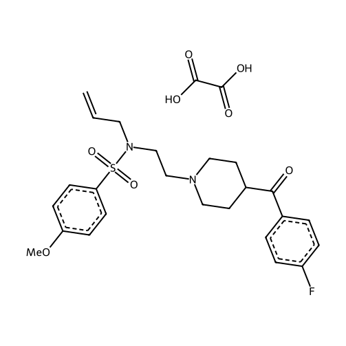 C=CCN(CCN1CCC(C(=O)c2ccc(F)cc2)CC1)S(=O)(=O)c1ccc(OC)cc1.O=C(O)C(=O)O